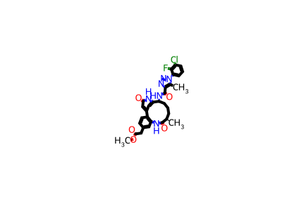 COC(=O)Cc1ccc2c(c1)NC(=O)[C@@H](C)CCC[C@H](NC(=O)c1nnn(-c3cccc(Cl)c3F)c1C)c1cc-2cc(=O)[nH]1